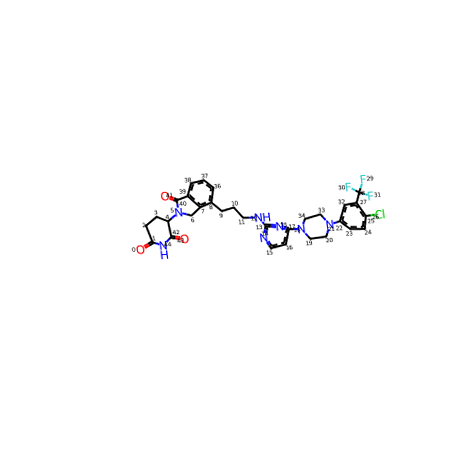 O=C1CCC(N2Cc3c(CCCNc4nccc(N5CCN(c6ccc(Cl)c(C(F)(F)F)c6)CC5)n4)cccc3C2=O)C(=O)N1